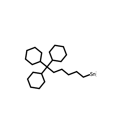 [Sn][CH2]CCCCC(C1CCCCC1)(C1CCCCC1)C1CCCCC1